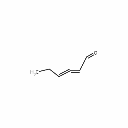 CCC=C=CC=O